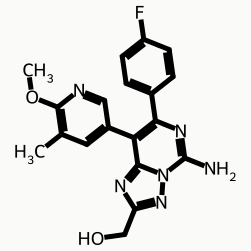 COc1ncc(-c2c(-c3ccc(F)cc3)nc(N)n3nc(CO)nc23)cc1C